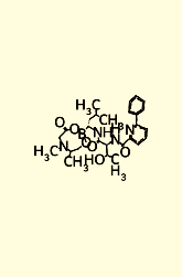 CC(C)C[C@H](NC(=O)[C@@H](NC(=O)c1cccc(-c2ccccc2)n1)[C@@H](C)O)B1OC[C@@H](C)N(C)CC(=O)O1